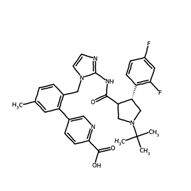 Cc1ccc(Cn2ccnc2NC(=O)C2CN(C(C)(C)C)C[C@H]2c2ccc(F)cc2F)c(-c2ccc(C(=O)O)nc2)c1